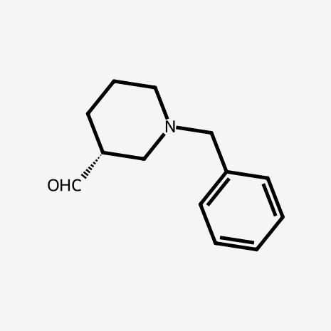 O=C[C@@H]1CCCN(Cc2ccccc2)C1